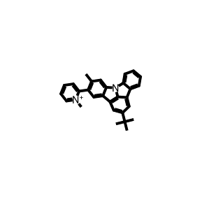 Cc1cc2c(cc1-c1cccc[n+]1C)c1cc(C(C)(C)C)cc3c4ccccc4n2c31